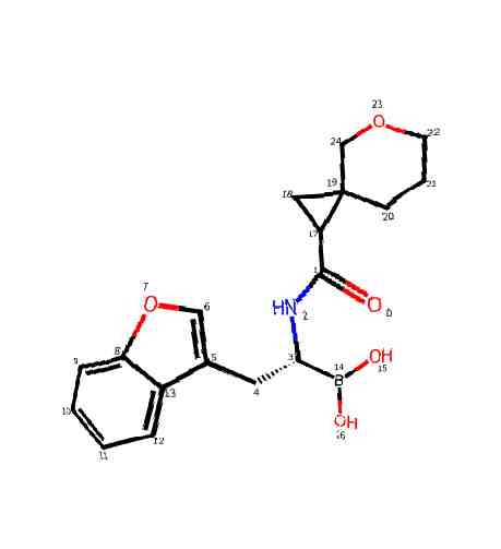 O=C(N[C@@H](Cc1coc2ccccc12)B(O)O)C1CC12CCCOC2